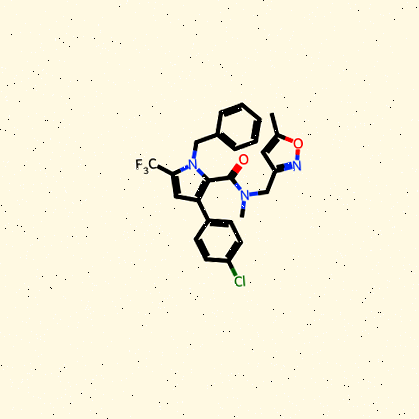 Cc1cc(CN(C)C(=O)c2c(-c3ccc(Cl)cc3)cc(C(F)(F)F)n2Cc2ccccc2)no1